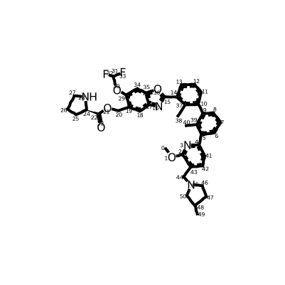 COc1nc(-c2cccc(-c3cccc(-c4nc5cc(COC(=O)[C@H]6CCCN6)c(OC(F)F)cc5o4)c3C)c2C)ccc1CN1CCC(C)C1